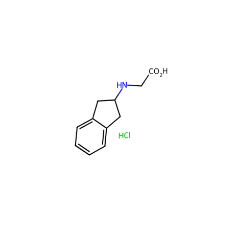 Cl.O=C(O)CNC1Cc2ccccc2C1